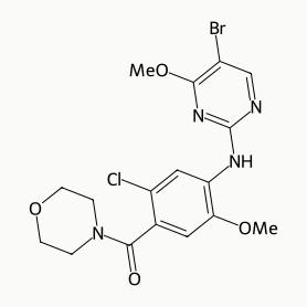 COc1cc(C(=O)N2CCOCC2)c(Cl)cc1Nc1ncc(Br)c(OC)n1